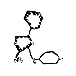 Nc1ncc(-c2ccncc2)nc1NC1CCNCC1